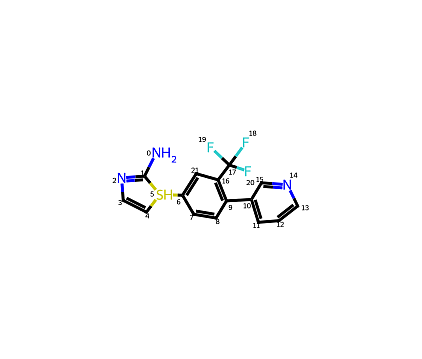 NC1=NC=C[SH]1c1ccc(-c2cccnc2)c(C(F)(F)F)c1